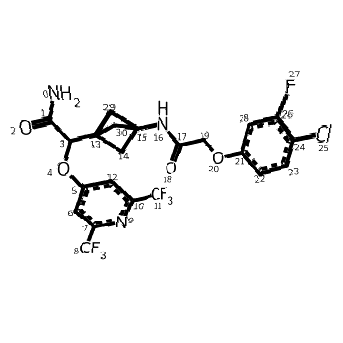 NC(=O)C(Oc1cc(C(F)(F)F)nc(C(F)(F)F)c1)C12CC(NC(=O)COc3ccc(Cl)c(F)c3)(C1)C2